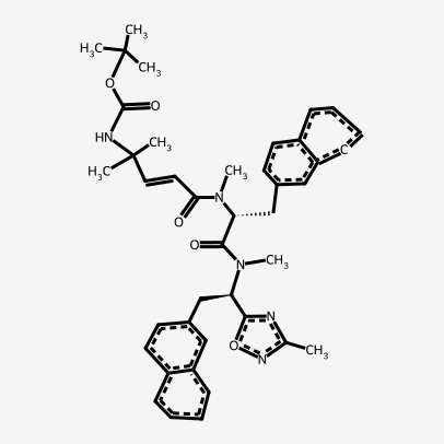 Cc1noc([C@@H](Cc2ccc3ccccc3c2)N(C)C(=O)[C@@H](Cc2ccc3ccccc3c2)N(C)C(=O)C=CC(C)(C)NC(=O)OC(C)(C)C)n1